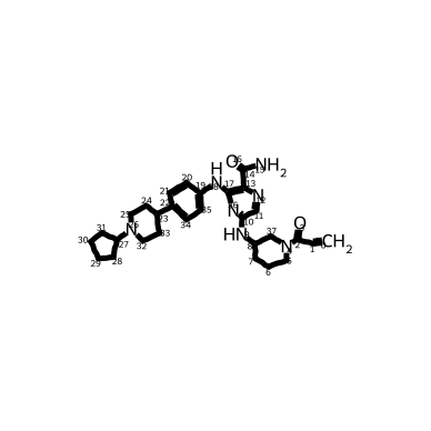 C=CC(=O)N1CCCC(Nc2cnc(C(N)=O)c(Nc3ccc(C4CCN(C5CCCC5)CC4)cc3)n2)C1